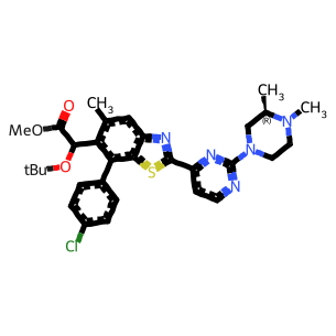 COC(=O)C(OC(C)(C)C)c1c(C)cc2nc(-c3ccnc(N4CCN(C)[C@H](C)C4)n3)sc2c1-c1ccc(Cl)cc1